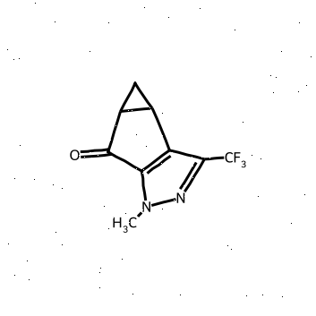 Cn1nc(C(F)(F)F)c2c1C(=O)C1CC21